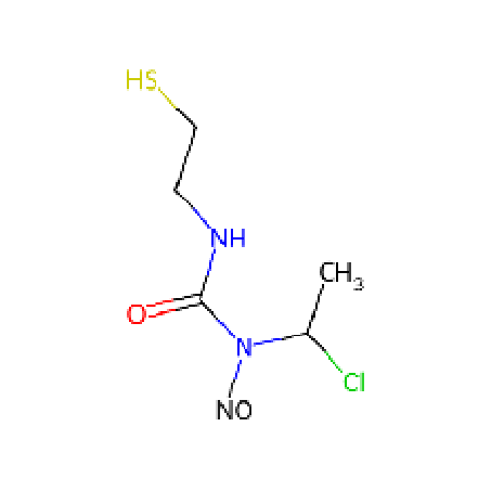 CC(Cl)N(N=O)C(=O)NCCS